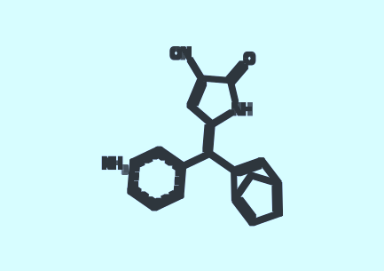 N.O=NC1=CC(=C(C2=CC3=CC=C2C3)c2ccccc2)NC1=O